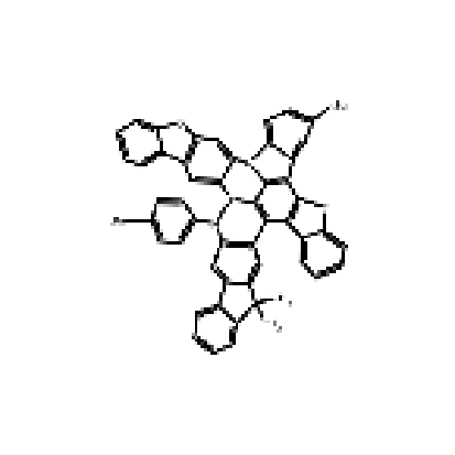 CC(C)(C)c1ccc(N2B3c4cc5c(cc4-n4c6ccc(C(C)(C)C)cc6c6c7oc8ccccc8c7c(c3c64)-c3cc4c(cc32)-c2ccccc2C4(C)C)oc2ccccc25)cc1